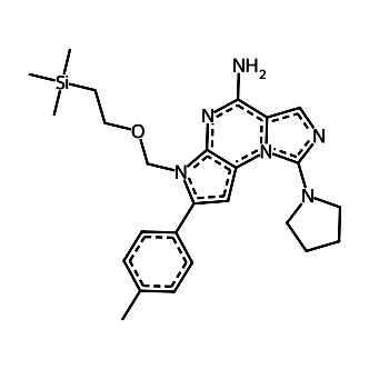 Cc1ccc(-c2cc3c(nc(N)c4cnc(N5CCCC5)n43)n2COCC[Si](C)(C)C)cc1